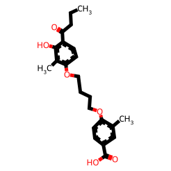 CCCC(=O)c1ccc(OCCCCOc2ccc(C(=O)O)cc2C)c(C)c1O